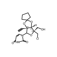 C#C[C@@]12OC3(CCCC3)O[C@@H]1[C@](CO)(CCl)OC2n1ccc(=O)[nH]c1=O